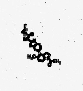 CC(=O)N1CCc2c1ccc(C)c2-c1ccc2nc(NC(=O)[C@@H]3C[C@@H]3F)sc2c1